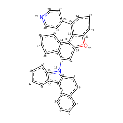 c1ccc2c(c1)ccc1c2c2ccccc2n1-c1cc2oc3cccc(-c4ccncc4)c3c2c2ccccc12